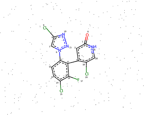 O=c1cc(-c2c(-n3cc(Cl)nn3)ccc(Cl)c2F)c(Cl)c[nH]1